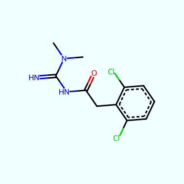 CN(C)C(=N)NC(=O)Cc1c(Cl)cccc1Cl